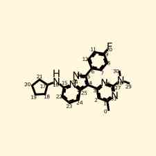 Cc1cc(-c2c(-c3ccc(F)cc3)nn3c(NC4CCCC4)cccc23)nc(N(C)C)n1